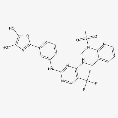 CN(c1ncccc1CNc1nc(Nc2cccc(-c3nc(O)c(O)o3)c2)ncc1C(F)(F)F)S(C)(=O)=O